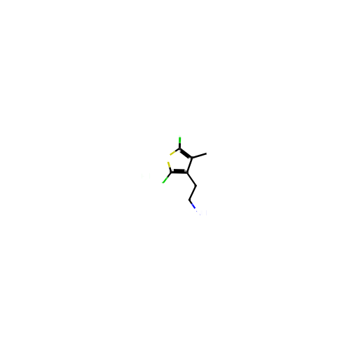 Cc1c(Cl)sc(Cl)c1CCN.Cl